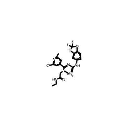 C=C(/N=C(/c1cc(C)nc(Cl)c1)N(N)CC(=O)NCC)Nc1ccc2c(c1)OC(F)(F)O2